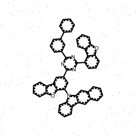 c1ccc(-c2cccc(-c3nc(-c4cc(-n5c6ccccc6c6cc7ccccc7cc65)c5oc6ccccc6c5c4)nc(-c4cccc5oc6ccccc6c45)n3)c2)cc1